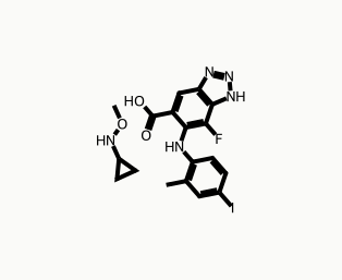 CONC1CC1.Cc1cc(I)ccc1Nc1c(C(=O)O)cc2nn[nH]c2c1F